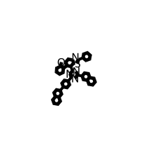 c1ccc(-c2nc3cc4oc5ccccc5c4c(-c4nc(-c5ccc(-c6ccc7ccccc7c6)cc5)nc(-c5ccc6ccccc6c5)n4)c3s2)cc1